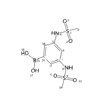 CS(=O)(=O)Nc1cc(NS(C)(=O)=O)cc(B(O)O)c1